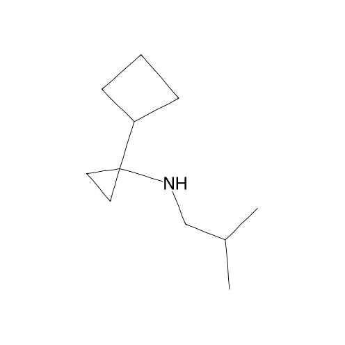 CC(C)CNC1(C2CCC2)CC1